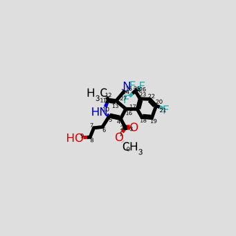 COC(=O)C1=C(CCCO)NC(C)=C(C#N)C1c1ccc(F)cc1C(F)(F)F